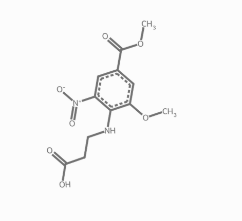 COC(=O)c1cc(OC)c(NCCC(=O)O)c([N+](=O)[O-])c1